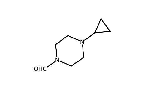 O=[C]N1CCN(C2CC2)CC1